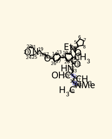 CCN(C(=O)C1CCCC1)c1cc(-c2ccc(OCCCN3CCOCC3)cc2)cc(C(=O)NC/C(C=O)=C(C)/C=C(/C)NC)c1C